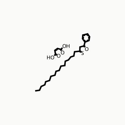 CCCCCCCCCCCCCCCCCC(=S)CC(=O)c1ccccc1.O=C(O)/C=C\C(=O)O